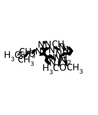 C[C@@H]1CN(c2nc([C@H](C)Nc3ncnc4c3c(-c3ccnc(N)c3)cn4COCC[Si](C)(C)C)nn3cccc23)C[C@H](C)O1